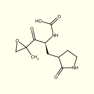 CC1(C(=O)[C@H](CC2CCNC2=O)NC(=O)O)CO1